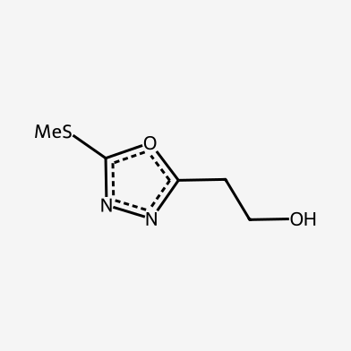 CSc1nnc(CCO)o1